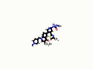 CCNC(=O)Nc1cc(-c2nc(C(F)(F)F)cs2)c(-c2ccc3c(c2)c(=O)c(C(=O)OCC)cn3CC2CCN(C)CC2)cn1